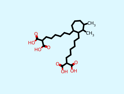 CC1CCCC(CCCCCCC(C(=O)O)C(=O)O)C(CCCCCCC(C(=O)O)C(=O)O)C1C